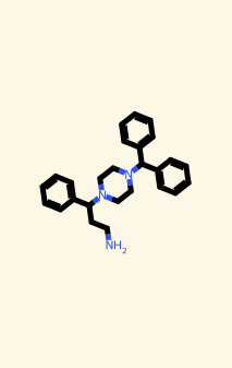 NCCC(c1ccccc1)N1CCN(C(c2ccccc2)c2ccccc2)CC1